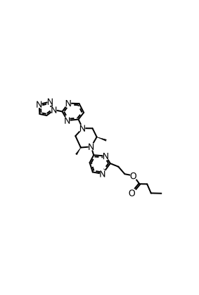 CCCC(=O)OCCc1nccc(N2[C@H](C)CN(c3ccnc(-n4ccnn4)n3)C[C@@H]2C)n1